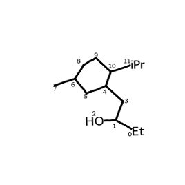 [CH2]CC(O)CC1CC(C)CCC1C(C)C